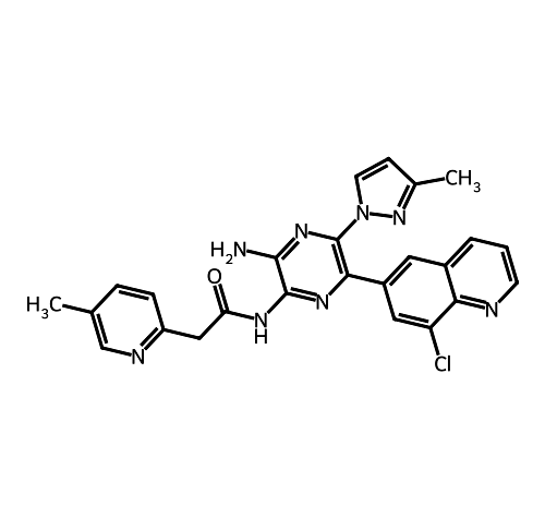 Cc1ccc(CC(=O)Nc2nc(-c3cc(Cl)c4ncccc4c3)c(-n3ccc(C)n3)nc2N)nc1